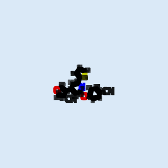 N#Cc1ccc(Oc2nc(-c3cccs3)cc(-c3ccoc3)c2C#N)cc1